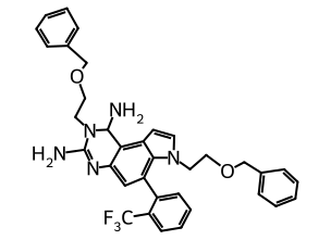 NC1=Nc2cc(-c3ccccc3C(F)(F)F)c3c(ccn3CCOCc3ccccc3)c2C(N)N1CCOCc1ccccc1